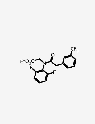 CCOC(=O)CN(C(=O)Cc1cccc(C(F)(F)F)c1)c1c(F)cccc1F